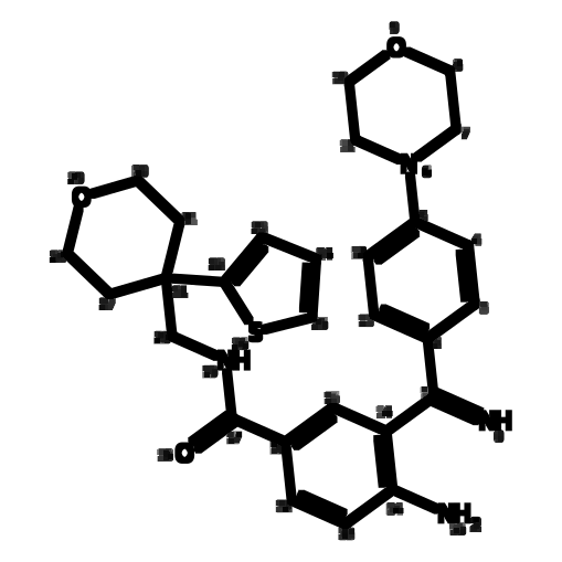 N=C(c1ccc(N2CCOCC2)cc1)c1cc(C(=O)NCC2(c3cccs3)CCOCC2)ccc1N